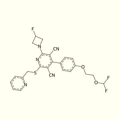 N#Cc1c(SCc2ccccn2)nc(N2CC(F)C2)c(C#N)c1-c1ccc(OCCOC(F)F)cc1